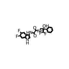 O=C(NC[C@@](O)(c1ccccc1)C(F)F)C(=O)Nc1c[nH]c2cc(F)c(F)cc12